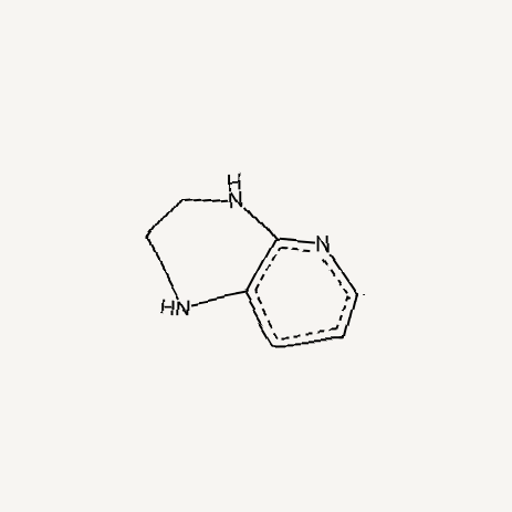 [c]1ccc2c(n1)NCCN2